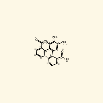 Cc1c(N)c(N)cc(-c2ccccc2C(=O)O)c1-c1ccccc1C(=O)O